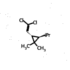 CC(C)[C@@H]1[C@@H](C=C(Cl)Cl)C1(C)C